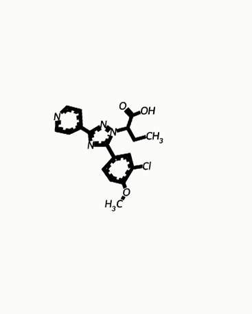 CCC(C(=O)O)n1nc(-c2ccncc2)nc1-c1ccc(OC)c(Cl)c1